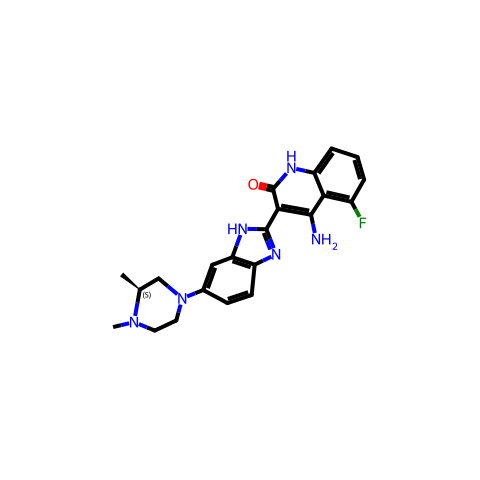 C[C@H]1CN(c2ccc3nc(-c4c(N)c5c(F)cccc5[nH]c4=O)[nH]c3c2)CCN1C